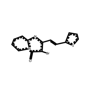 O=c1c(Br)c(/C=C/c2cccs2)nc2ccccn12